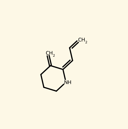 C=C/C=C1/NCCCC1=C